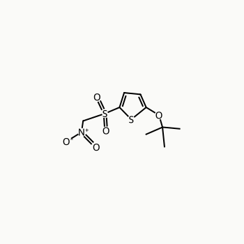 CC(C)(C)Oc1ccc(S(=O)(=O)C[N+](=O)[O-])s1